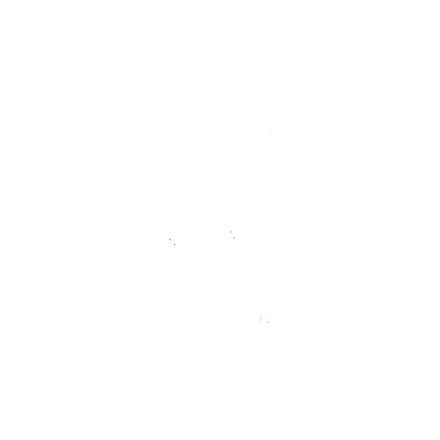 Cn1c(-c2ccccc2)c(-c2ccc(O)cc2)c2ccccc21.Oc1ccc(-c2[nH]c3ccc(Br)cc3c2-c2ccc(O)cc2)cc1